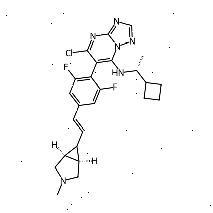 C[C@@H](Nc1c(-c2c(F)cc(/C=C/C3[C@H]4CN(C)C[C@@H]34)cc2F)c(Cl)nc2ncnn12)C1CCC1